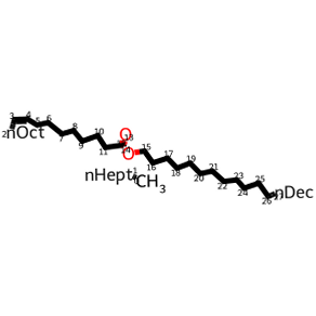 CCCCCCCC.CCCCCCCC/C=C\CCCCCCCC(=O)OCCCCCCCCCCCCCCCCCCCCCC